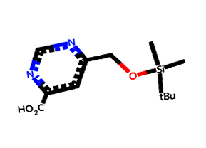 CC(C)(C)[Si](C)(C)OCc1cc(C(=O)O)ncn1